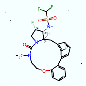 CN1CCOc2ccccc2-c2cccc(c2F)C[C@@H]2[C@@H](NS(=O)(=O)C(F)F)[C@@H](F)CN2C1=O